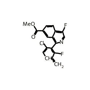 C=C/C(F)=C(\C(Cl)=C/C)c1ncc(F)c2ccc(C(=O)OC)cc12